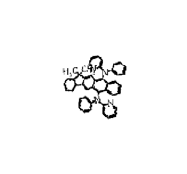 CC1(C)c2ccccc2-c2cc3c(N(c4ccccc4)c4ccccn4)c4ccccc4c(N(c4ccccc4)c4ccccn4)c3cc21